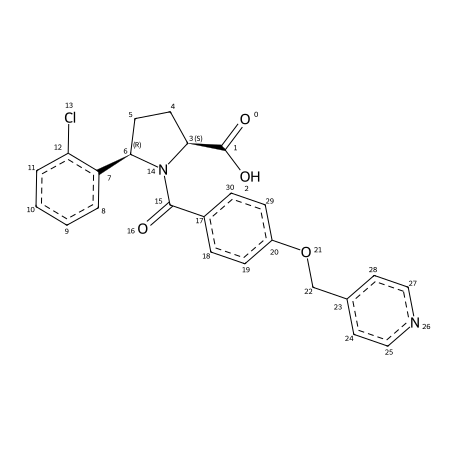 O=C(O)[C@@H]1CC[C@H](c2ccccc2Cl)N1C(=O)c1ccc(OCc2ccncc2)cc1